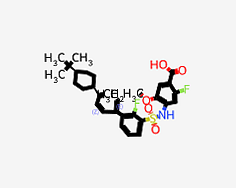 C=C(/C=C\C(=C/C)c1cccc(S(=O)(=O)Nc2cc(F)c(C(=O)O)cc2OC)c1F)[C@H]1CC[C@@H](C(C)(C)C)CC1